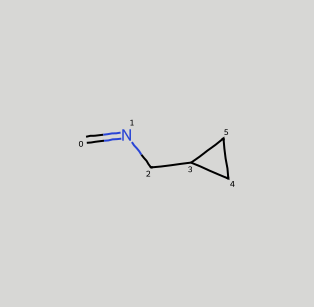 C=NCC1CC1